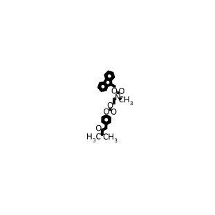 CC(C)C(=O)Cc1ccc(OC(=O)OCCN(C)C(=O)OCC2c3ccccc3-c3ccccc32)cc1